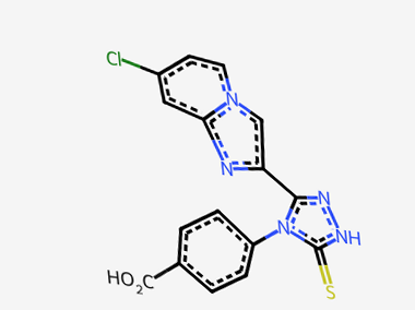 O=C(O)c1ccc(-n2c(-c3cn4ccc(Cl)cc4n3)n[nH]c2=S)cc1